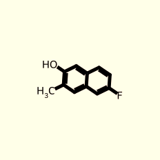 Cc1cc2cc(F)ccc2cc1O